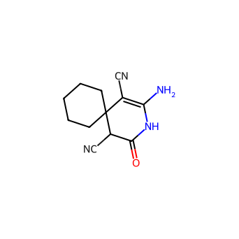 N#CC1=C(N)NC(=O)C(C#N)C12CCCCC2